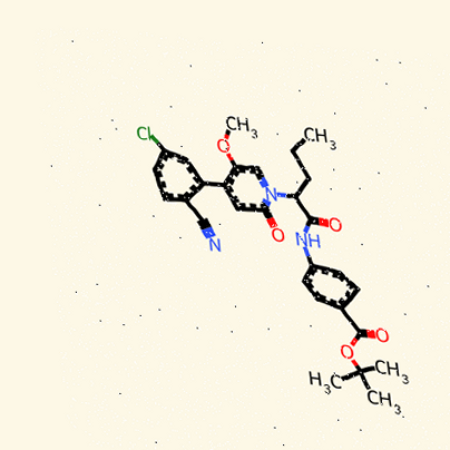 CCCC(C(=O)Nc1ccc(C(=O)OC(C)(C)C)cc1)n1cc(OC)c(-c2cc(Cl)ccc2C#N)cc1=O